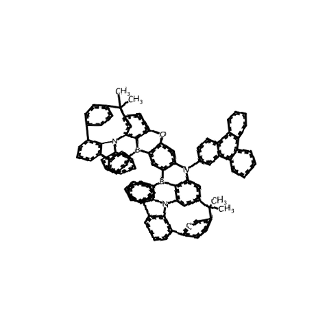 CC1(C)c2ccc(cc2)-c2cccc(-c3ccccc3)c2N2c3ccccc3B3c4cc5c(cc4Oc4cc1cc2c43)N(c1ccc2c3ccccc3c3ccccc3c2c1)c1cc2cc3c1B5c1ccccc1N3c1c(-c3ccccc3)cccc1-c1ccc(cc1)C2(C)C